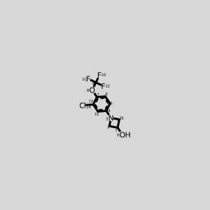 OC1CN(c2ccc(OC(F)(F)F)c(Cl)c2)C1